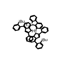 CCC(C)c1ccccc1-c1cccc2c1C=C(c1ccccc1)[CH]2[Hf]([c]1cccc2c1[SiH2]c1ccccc1-2)[CH]1C(c2ccccc2)=Cc2c(-c3ccccc3C(C)CC)cccc21